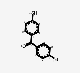 CCc1ccc(C(=O)c2ccc(S)cc2)cc1